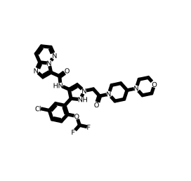 O=C(NC1=CN(CC(=O)N2CCC(N3CCOCC3)CC2)NC1c1cc(Cl)ccc1OC(F)F)c1cnc2cccnn12